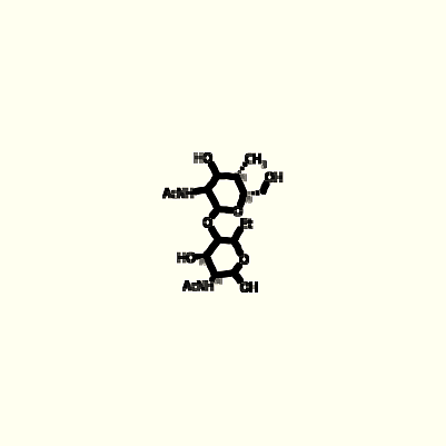 CCC1OC(O)[C@@H](NC(C)=O)[C@@H](O)C1OC1O[C@@H](CO)[C@@H](C)C(O)C1NC(C)=O